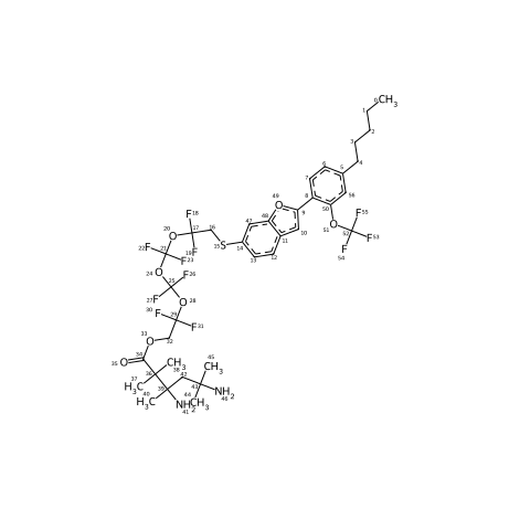 CCCCCc1ccc(-c2cc3ccc(SCC(F)(F)OC(F)(F)OC(F)(F)OC(F)(F)COC(=O)C(C)(C)C(C)(N)CC(C)(C)N)cc3o2)c(OC(F)(F)F)c1